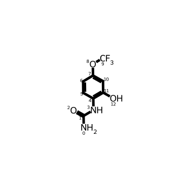 NC(=O)Nc1ccc(OC(F)(F)F)cc1O